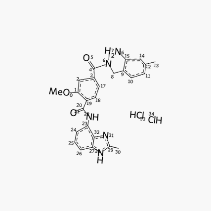 COc1cc(C(=O)N(C)Cc2ccc(C)cc2N)ccc1C(=O)Nc1cccc2[nH]c(C)nc12.Cl.Cl